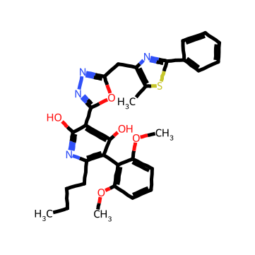 CCCCc1nc(O)c(-c2nnc(Cc3nc(-c4ccccc4)sc3C)o2)c(O)c1-c1c(OC)cccc1OC